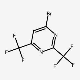 FC(F)(F)c1cc(Br)nc(C(F)(F)F)n1